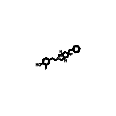 Oc1ccc(CCN2C[C@@H]3C[C@](F)(Cc4ccccc4)C[C@@H]3C2)cc1F